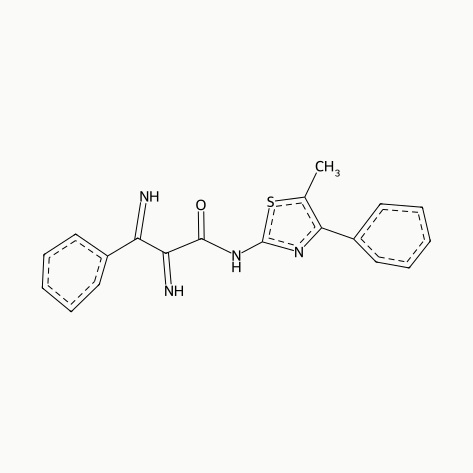 Cc1sc(NC(=O)C(=N)C(=N)c2ccccc2)nc1-c1ccccc1